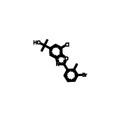 Cc1c(Br)cccc1-c1nc2cc(C(C)(C)O)cc(Cl)c2o1